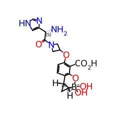 N[C@H](C(=O)N1CC(Oc2ccc3c(c2C(=O)O)O[B-](O)(O)[C@@H]2C[C@H]32)C1)c1c[nH]cn1